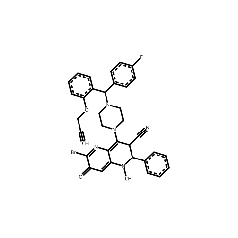 C#CCOc1ccccc1C(c1ccc(F)cc1)N1CCN(C2=C3N=C(Br)C(=O)C=C3N(C)C(c3ccccc3)C2C#N)CC1